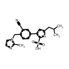 Cc1nccn1Cc1ccc(-c2cc(CC(C)C)sc2S(=O)(=O)O)cc1C#N